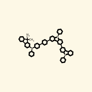 CC1(C)c2ccccc2-c2ccc(N(c3ccccc3)c3ccc(-c4ccc(-c5ccc6c(c5)c5cc(-c7ccc8c(c7)c7ccccc7n8-c7ccccc7)ccc5n6-c5ccccc5)cc4)cc3)cc21